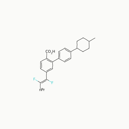 CCCC(F)=C(F)c1ccc(C(=O)O)c(-c2ccc(C3CCC(C)CC3)cc2)c1